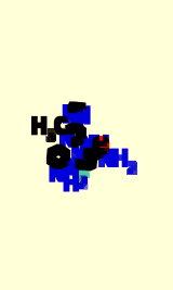 Cc1ncc(Nc2nc(N[C@@H]3CCCCC3N)c(F)cc2C(N)=O)cc1-n1nccn1